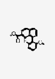 COC(=O)c1ccc2cccc(-c3c(F)cccc3OC)c2c1